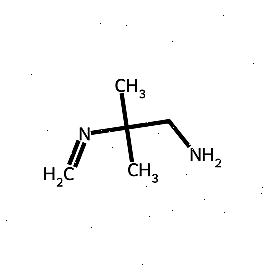 C=NC(C)(C)CN